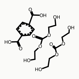 O=C(O)c1ccc(C(=O)O)cc1.O=C(OCCO)OCCO.O=C(OCCO)OCCO